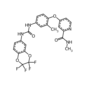 CNC(=O)c1cc(Oc2ccc(NC(=O)Nc3ccc4c(c3)OC(F)(F)C(F)(F)O4)cc2C)ccn1